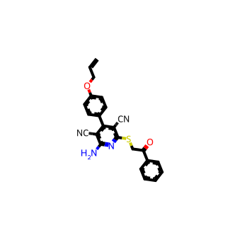 C=CCOc1ccc(-c2c(C#N)c(N)nc(SCC(=O)c3ccccc3)c2C#N)cc1